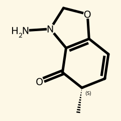 C[C@H]1C=CC2=C(C1=O)N(N)CO2